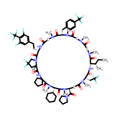 CC[C@H](C)[C@@H]1NC(=O)[C@H](CC(F)(F)F)N(C)C(=O)C[C@@H](C(=O)N2CCCC2)N(C)C(=O)[C@H](C2CCCCC2)N(C)C(=O)C2(CCCC2)NC(=O)[C@@H]2CC(F)(F)CN2C(=O)[C@H](CCc2cc(F)c(C(F)(F)F)c(F)c2)NC(=O)CN(C)C(=O)[C@H](Cc2ccc(C(F)(F)F)cc2)N(C)C(=O)CN(C)C(=O)CN(C)C1=O